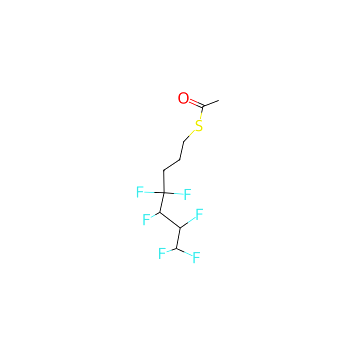 CC(=O)SCCCC(F)(F)C(F)C(F)C(F)F